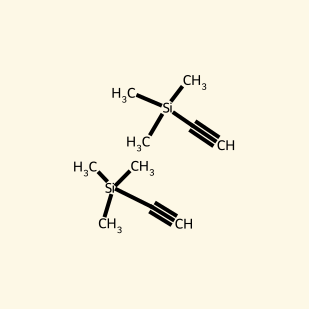 C#C[Si](C)(C)C.C#C[Si](C)(C)C